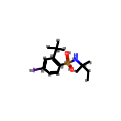 CCC(C)(C)NS(=O)(=O)c1ccc(I)cc1C(C)(C)C